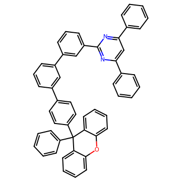 c1ccc(-c2cc(-c3ccccc3)nc(-c3cccc(-c4cccc(-c5ccc(C6(c7ccccc7)c7ccccc7Oc7ccccc76)cc5)c4)c3)n2)cc1